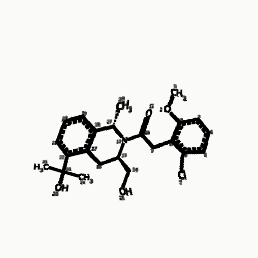 COc1cccc(Cl)c1CC(=O)N1[C@@H](CO)Cc2c(cccc2C(C)(C)O)[C@@H]1C